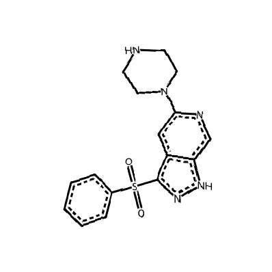 O=S(=O)(c1ccccc1)c1n[nH]c2cnc(N3CCNCC3)cc12